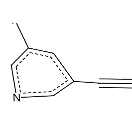 C#Cc1cncc([CH2])c1